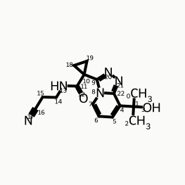 CC(C)(O)c1cccn2c(C3(C(=O)NCCC#N)CC3)nnc12